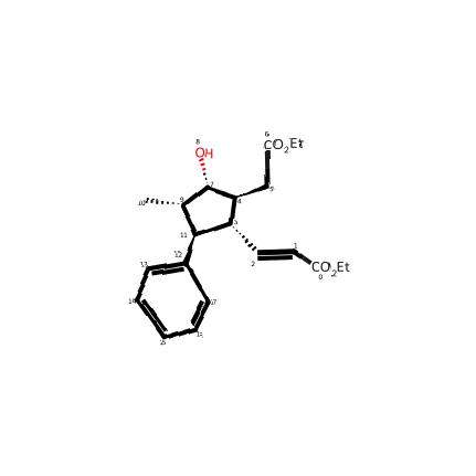 CCOC(=O)/C=C/[C@H]1[C@H](CC(=O)OCC)[C@@H](O)[C@@H](C)[C@@H]1c1ccccc1